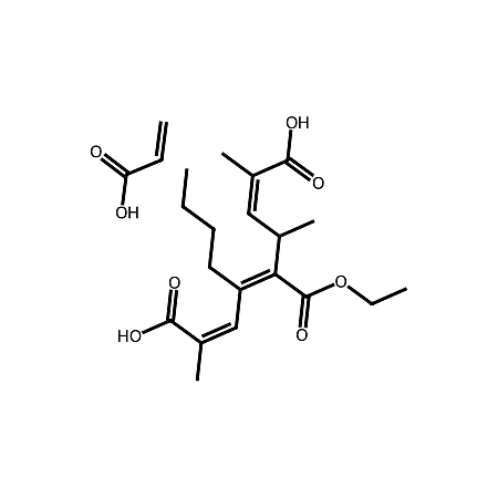 C=CC(=O)O.CCCCC(C=C(C)C(=O)O)=C(C(=O)OCC)C(C)C=C(C)C(=O)O